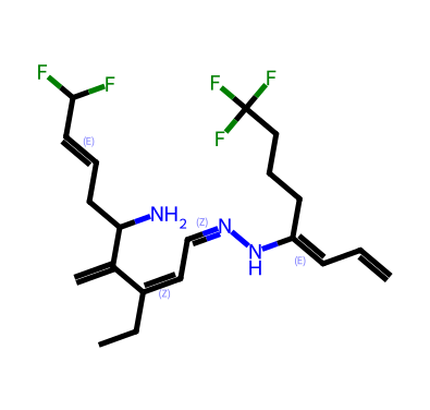 C=C/C=C(\CCCC(F)(F)F)N/N=C\C=C(\CC)C(=C)C(N)C/C=C/C(F)F